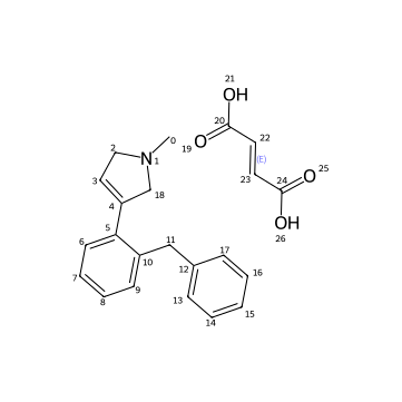 CN1CC=C(c2ccccc2Cc2ccccc2)C1.O=C(O)/C=C/C(=O)O